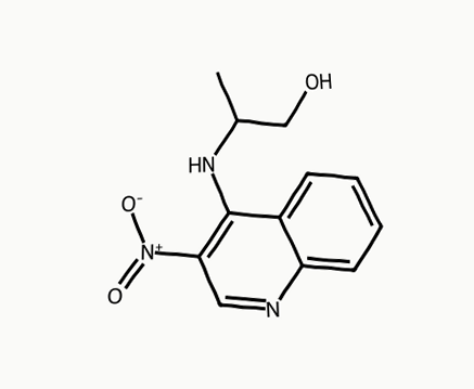 CC(CO)Nc1c([N+](=O)[O-])cnc2ccccc12